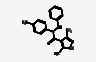 Cc1n[nH]c(C)c1C(=O)N(Nc1ccccc1)c1ccc(C(F)(F)F)cc1